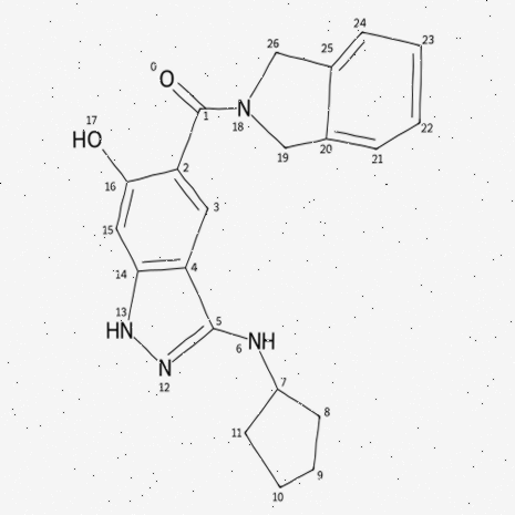 O=C(c1cc2c(NC3CCCC3)n[nH]c2cc1O)N1Cc2ccccc2C1